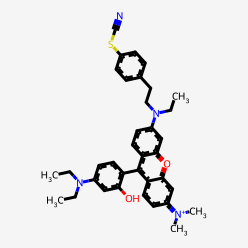 CCN(CC)c1ccc(-c2c3ccc(=[N+](C)C)cc-3oc3cc(N(CC)CCc4ccc(SC#N)cc4)ccc23)c(O)c1